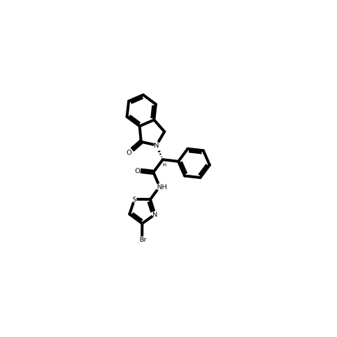 O=C(Nc1nc(Br)cs1)[C@@H](c1ccccc1)N1Cc2ccccc2C1=O